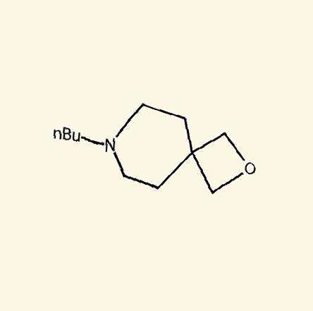 CCCCN1CCC2(CC1)COC2